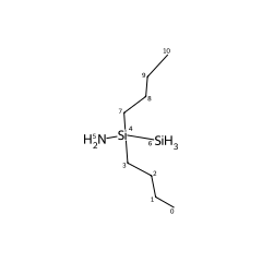 CCCC[Si](N)([SiH3])CCCC